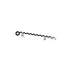 [SiH3]CCCNCCCCCCCCCCCCCNCc1ccccc1